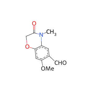 COc1cc2c(cc1C=O)N(C)C(=O)CO2